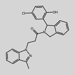 Cc1nn(CCC(=O)N2Cc3ccccc3C2c2cc(Cl)ccc2O)c2ccccc12